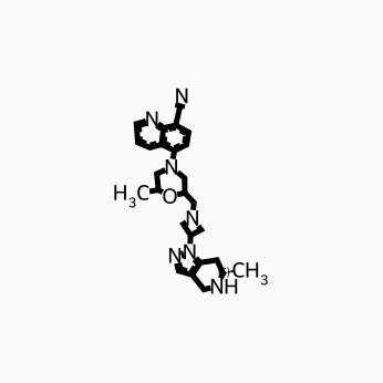 CC1CN(c2ccc(C#N)c3ncccc23)CC(CN2CC(n3ncc4c3C[C@H](C)NC4)C2)O1